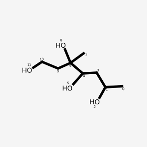 CC(O)CC(O)C(C)(O)CCO